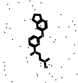 CC(=O)N(C)CCN(C)c1cncc(Oc2ccc3c(c2)CCC3)n1